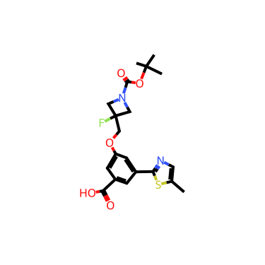 Cc1cnc(-c2cc(OCC3(F)CN(C(=O)OC(C)(C)C)C3)cc(C(=O)O)c2)s1